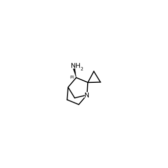 N[C@@H]1C2CCN(C2)C12CC2